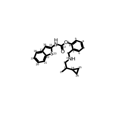 CC(CNCc1ccccc1OC(=O)Nc1cc2ccccc2s1)C1CC1